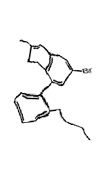 CCCCc1ccccc1-c1cc(Br)cc2c1CC(C)=C2